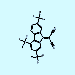 N#CC(C#N)=C1c2cc(C(F)(F)F)ccc2-c2c1cc(C(F)(F)F)cc2C(F)(F)F